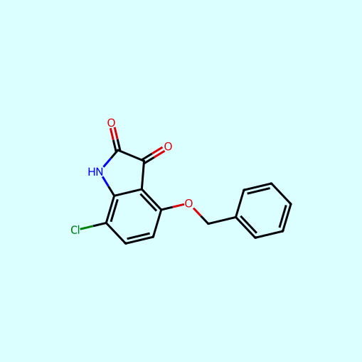 O=C1Nc2c(Cl)ccc(OCc3ccccc3)c2C1=O